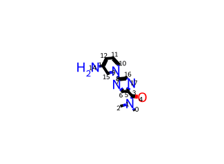 CN(C)C(=O)c1cnc(N2C=CC=C(N)C2)cn1